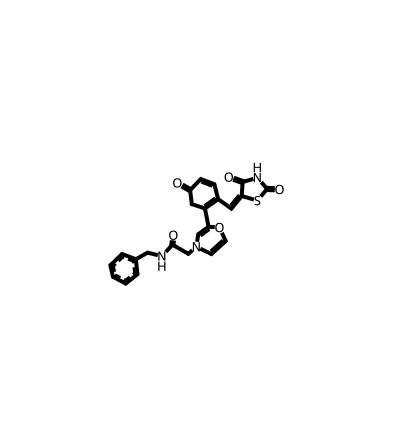 O=C1C=CC(C=C2SC(=O)NC2=O)=C(C2=CN(CC(=O)NCc3ccccc3)C=CO2)C1